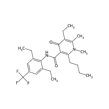 CCCCc1c(C(=O)Nc2c(CC)cc(C(F)(F)F)cc2CC)c(=O)c(CC)c(C)n1C